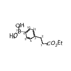 CCOC(=O)CCc1ccc(B(O)O)cc1